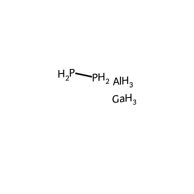 PP.[AlH3].[GaH3]